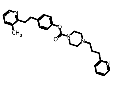 Cc1cccnc1CCc1ccc(OC(=O)N2CCN(CCCc3ccccn3)CC2)cc1